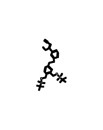 C#C/C=C(\CC)c1cccc(CCc2ccc(CO[Si](C)(C)C(C)(C)C)c(CO[Si](C)(C)C(C)(C)C)c2)c1